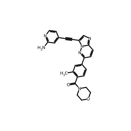 Cc1cc(-c2ccc3ncc(C#Cc4ccnc(N)c4)n3n2)ccc1C(=O)N1CCOCC1